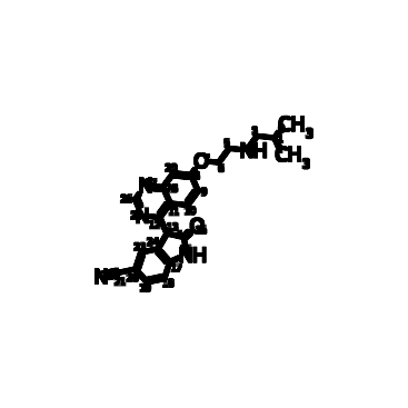 CC(C)CNCCOc1ccc2c(C3C(=O)Nc4ccc(C#N)cc43)ncnc2c1